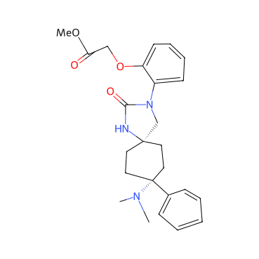 COC(=O)COc1ccccc1N1C[C@]2(CC[C@@](c3ccccc3)(N(C)C)CC2)NC1=O